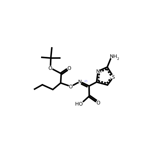 CCCC(O/N=C(\C(=O)O)c1csc(N)n1)C(=O)OC(C)(C)C